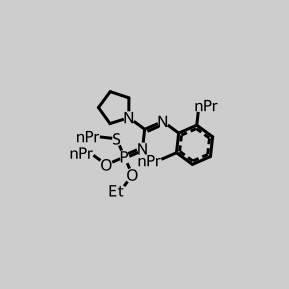 CCCOP(=NC(=Nc1c(CCC)cccc1CCC)N1CCCC1)(OCC)SCCC